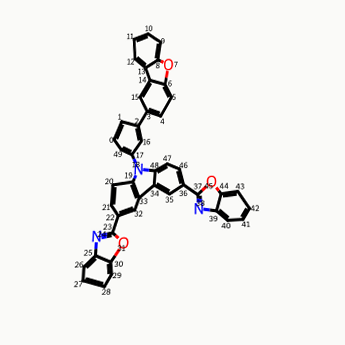 c1cc(-c2ccc3oc4ccccc4c3c2)cc(-n2c3ccc(-c4nc5ccccc5o4)cc3c3cc(-c4nc5ccccc5o4)ccc32)c1